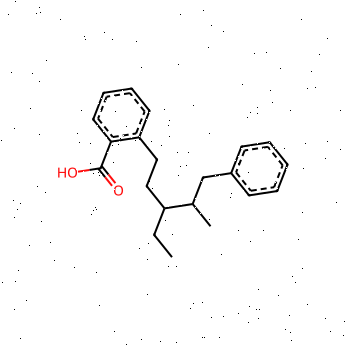 CCC(CCc1ccccc1C(=O)O)C(C)Cc1ccccc1